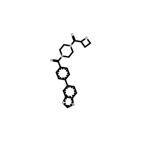 O=C(c1ccc(-c2ccc3ncsc3c2)cc1)N1CCN(C(=O)C2CCO2)CC1